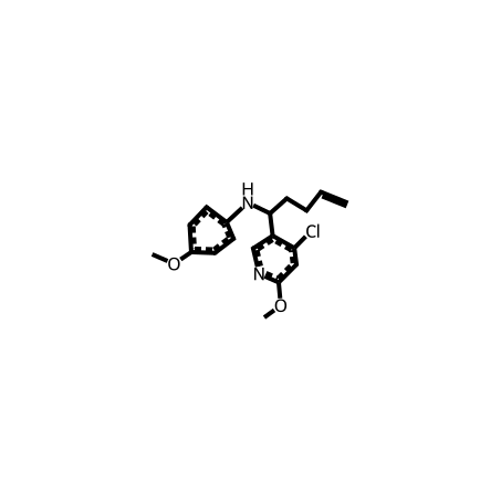 C=CCCC(Nc1ccc(OC)cc1)c1cnc(OC)cc1Cl